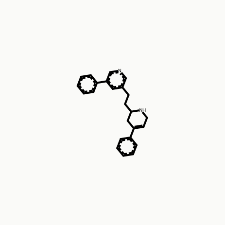 C1=C(c2ccccc2)CC(CCc2cncc(-c3ccccc3)c2)NC1